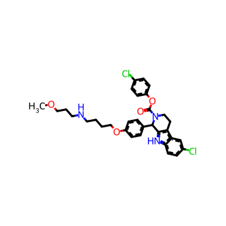 COCCCNCCCCOc1ccc(C2c3[nH]c4ccc(Cl)cc4c3CCN2C(=O)Oc2ccc(Cl)cc2)cc1